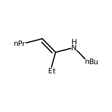 CCC/C=C(\CC)NCCCC